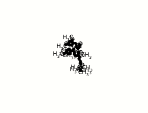 COc1ccc(CN2C(=O)CC[C@@H]2C=C(c2ccc(C(C)(C)C)cc2)c2ccc(C=CCCO[Si](C)(C)C(C)(C)C)c(OC)n2)c(OC)c1